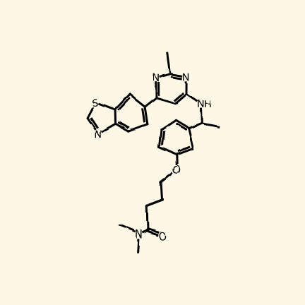 Cc1nc(NC(C)c2cccc(OCCCC(=O)N(C)C)c2)cc(-c2ccc3ncsc3c2)n1